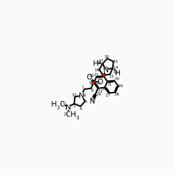 CN(C)C1CCN(CCC(=O)O[C@H]2C[C@H]3CC[C@@H](C2)N3c2ccc(C#N)c3ccccc23)C1